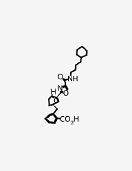 O=C(NCCCCC1CCCCC1)c1coc([C@H]2C[C@]3(Cc4ccccc4C(=O)O)CC[C@H]2O3)n1